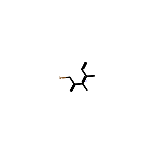 C=C/C(C)=C(/C)C(=C)CBr